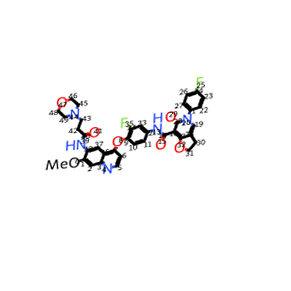 COc1cc2nccc(Oc3ccc(NC(=O)c4c5c(cn(-c6ccc(F)cc6)c4=O)CCO5)cc3F)c2cc1NC(=O)CCN1CCOCC1